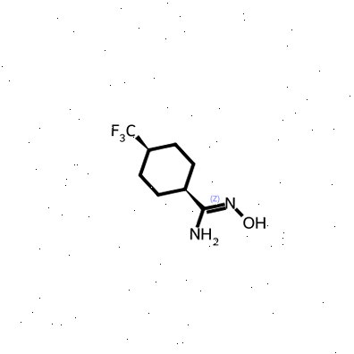 N/C(=N\O)[C@H]1CC[C@@H](C(F)(F)F)CC1